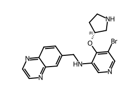 Brc1cncc(NCc2ccc3nccnc3c2)c1O[C@@H]1CCNC1